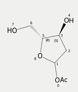 CC(=O)OC1C[C@H](O)[C@@H](CO)O1